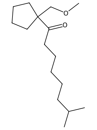 COCC1(C(=O)CCCCCC(C)C)CCCC1